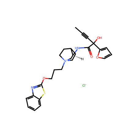 CC#CC(O)(C(=O)N[C@H]1C[N+]2(CCCOc3nc4ccccc4s3)CCC1CC2)c1ccco1.[Cl-]